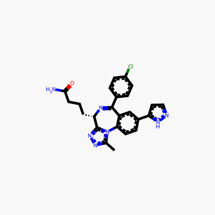 Cc1nnc2n1-c1ccc(-c3ccn[nH]3)cc1C(c1ccc(Cl)cc1)=N[C@H]2CCCC(N)=O